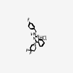 Cl.Fc1ccc(CNc2nc(N3CCC(F)(F)CC3)c3ccccc3n2)cc1